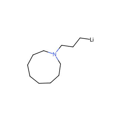 [Li][CH2]CCN1CCCCCCCC1